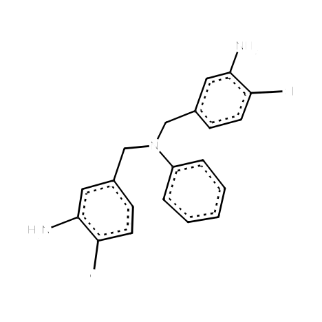 Nc1cc(CN(Cc2ccc(Cl)c(N)c2)c2ccccc2)ccc1Cl